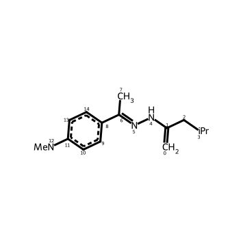 C=C(CC(C)C)N/N=C(\C)c1ccc(NC)cc1